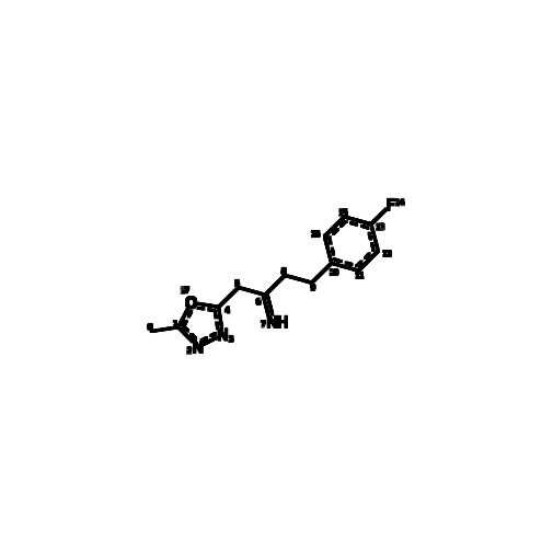 Cc1nnc(CC(=N)CCc2ccc(F)cc2)o1